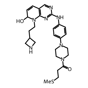 CSCCC(=O)N1CCN(c2ccc(Nc3ncc4c(n3)N(CCC3CNC3)C(O)C=C4)cc2)CC1